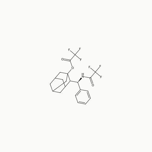 O=C(N[C@@H](c1ccccc1)C1C2CC3CC(C2)CC1(OC(=O)C(F)(F)F)C3)C(F)(F)F